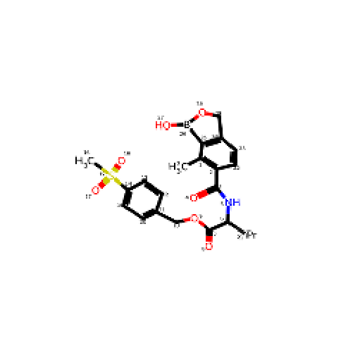 Cc1c(C(=O)NC(C(=O)OCc2ccc(S(C)(=O)=O)cc2)C(C)C)ccc2c1B(O)OC2